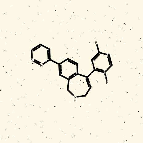 Fc1ccc(F)c(C2=CCNCc3cc(-c4cccnn4)ccc32)c1